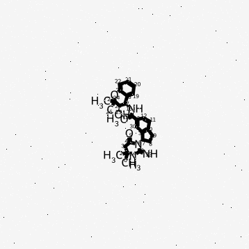 CC1(C)CC(=O)N([C@@H]2CCc3ccc(C(=O)N[C@@H]4c5ccccc5OC(C)(C)[C@H]4O)cc32)C(=N)N1